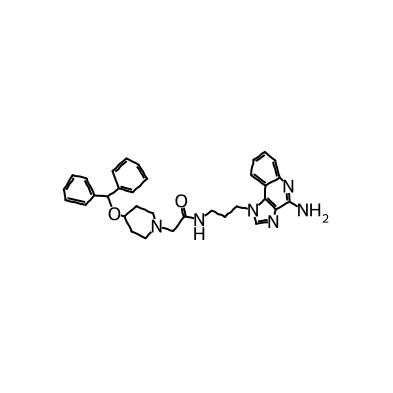 Nc1nc2ccccc2c2c1ncn2CCCNC(=O)CN1CCC(OC(c2ccccc2)c2ccccc2)CC1